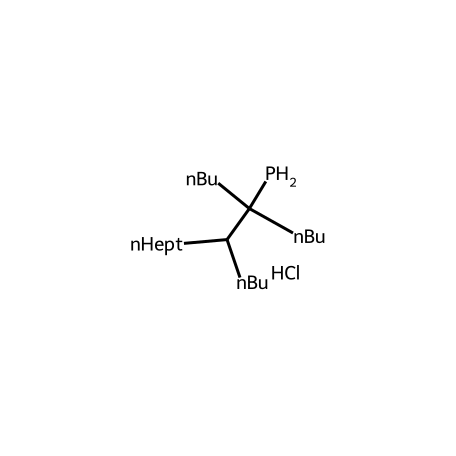 CCCCCCCC(CCCC)C(P)(CCCC)CCCC.Cl